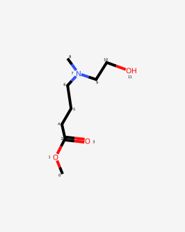 COC(=O)CCCN(C)CCO